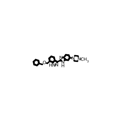 CN1CCN(c2ccc3nc(-c4n[nH]c5c(COCc6ccccc6)cccc45)[nH]c3c2)CC1